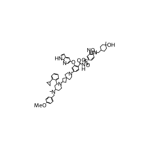 COc1ccc(CN(C)C2CCN(C3CC4(CCN(c5ccc(C(=O)NS(=O)(=O)c6ccc(NCC7CCC(C)(O)CC7)c([N+](=O)[O-])c6)c(Oc6cnc7[nH]ccc7c6)c5)CC4)C3)C(c3ccccc3C3CC3)C2)cc1